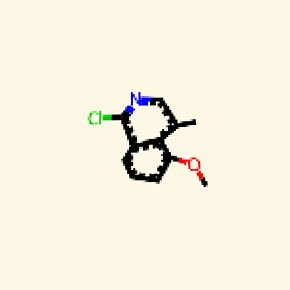 COc1cccc2c(Cl)ncc(C)c12